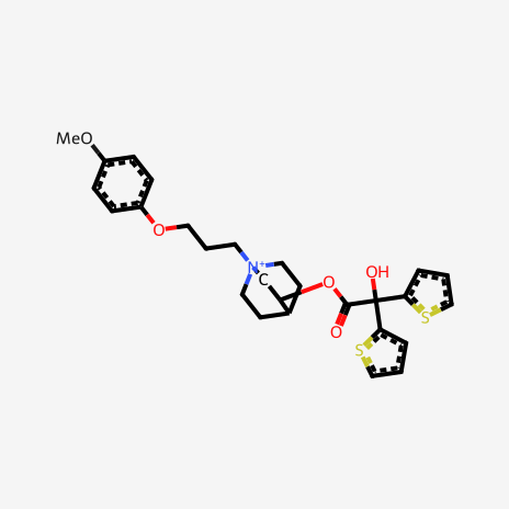 COc1ccc(OCCC[N+]23CCC(CC2)C(OC(=O)C(O)(c2cccs2)c2cccs2)C3)cc1